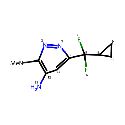 CNc1nnc(C(F)(F)C2CC2)cc1N